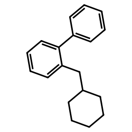 c1ccc(-c2ccccc2CC2CCCCC2)cc1